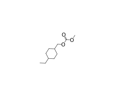 CCC1CCC(COC(=O)OC)CC1